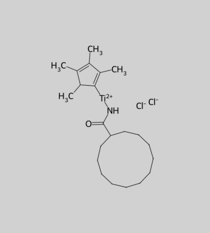 CC1=C(C)C(C)[C]([Ti+2][NH]C(=O)C2CCCCCCCCCCC2)=C1C.[Cl-].[Cl-]